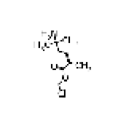 CC(=CCC(C)(C)N)C(=O)OCCl